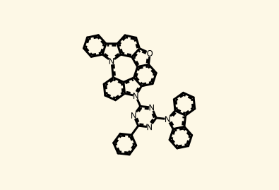 c1ccc(-c2nc(-n3c4ccccc4c4ccccc43)nc(-n3c4ccc5oc6ccc7c8ccccc8n8c9cccc3c9c4c5c6c78)n2)cc1